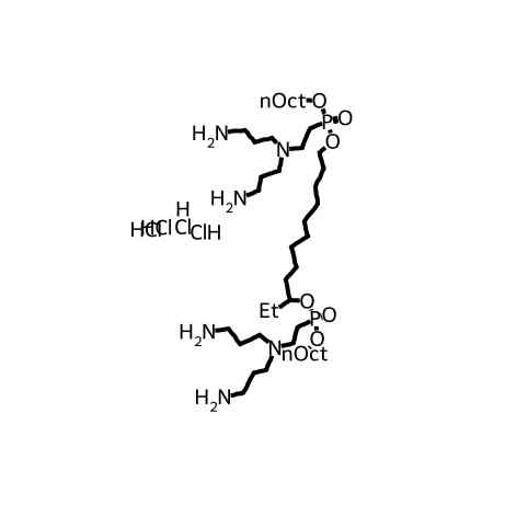 CCCCCCCCOP(=O)(CCN(CCCN)CCCN)OCCCCCCCCCC(CC)OP(=O)(CCN(CCCN)CCCN)OCCCCCCCC.Cl.Cl.Cl.Cl